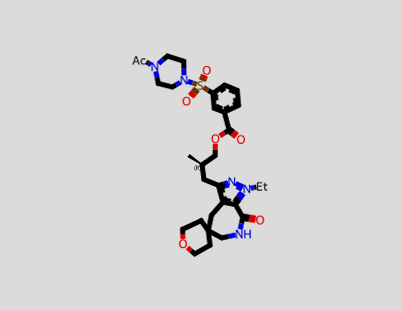 CCn1nc(C[C@@H](C)COC(=O)c2cccc(S(=O)(=O)N3CCN(C(C)=O)CC3)c2)c2c1C(=O)NCC1(CCOCC1)C2